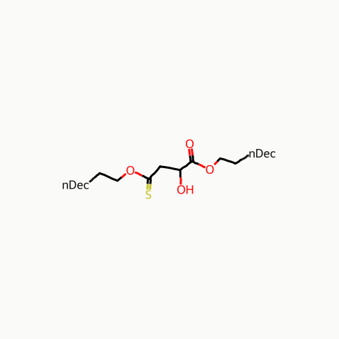 CCCCCCCCCCCCOC(=O)C(O)CC(=S)OCCCCCCCCCCCC